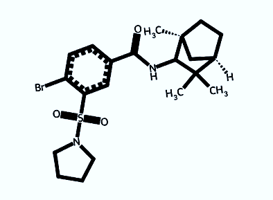 CC1(C)C(NC(=O)c2ccc(Br)c(S(=O)(=O)N3CCCC3)c2)[C@@]2(C)CC[C@@H]1C2